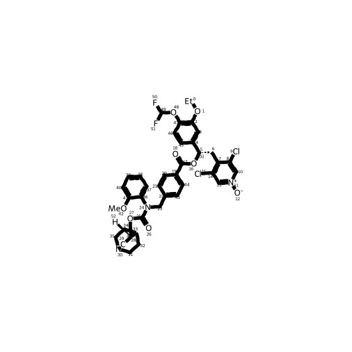 CCOc1cc([C@H](Cc2c(Cl)c[n+]([O-])cc2Cl)OC(=O)c2ccc(CN(C(=O)O[C@H]3CN4CCC3CC4)c3ccccc3OC)cc2)ccc1OC(F)F